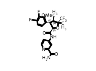 COc1c([C@@H]2[C@@H](C)[C@](C)(C(F)(F)F)O[C@H]2C(=O)Nc2ccnc(C(N)=O)c2)ccc(F)c1F